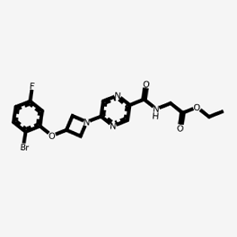 CCOC(=O)CNC(=O)c1cnc(N2CC(Oc3cc(F)ccc3Br)C2)cn1